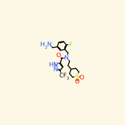 NCc1ccc(F)c(CN(CCC2CCS(=O)(=O)CC2)C(=O)c2cc(C(F)(F)F)n[nH]2)c1